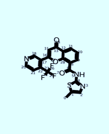 Cc1cnc(NC(=O)c2cccc3c(=O)cc(-c4cnccc4C(F)(F)F)oc23)s1